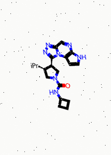 CC(C)[C@@H]1CN(C(=O)NC2CCC2)C[C@@H]1c1nnc2cnc3[nH]ccc3n12